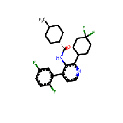 O=C(Nc1c(-c2cc(F)ccc2F)ccnc1C1CCC(F)(F)CC1)[C@H]1CC[C@H](C(F)(F)F)CC1